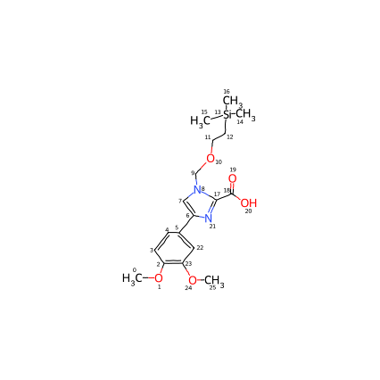 COc1ccc(-c2cn(COCC[Si](C)(C)C)c(C(=O)O)n2)cc1OC